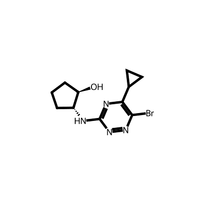 O[C@@H]1CCC[C@H]1Nc1nnc(Br)c(C2CC2)n1